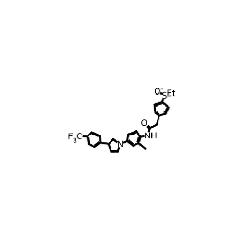 CC[S+]([O-])c1ccc(CC(=O)Nc2ccc(N3CCC(c4ccc(C(F)(F)F)cc4)C3)cc2C)cc1